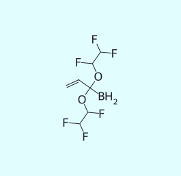 BC(C=C)(OC(F)C(F)F)OC(F)C(F)F